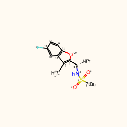 Cc1c([C@@H](NS(=O)(=O)C(C)(C)C)C(C)C)oc2ccc(F)cc12